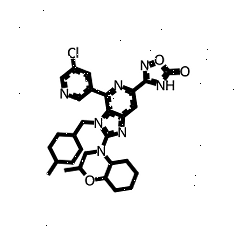 CC1CCC(Cn2c(N3CC(C)OC4CCCCC43)nc3cc(-c4noc(=O)[nH]4)nc(-c4cncc(Cl)c4)c32)CC1